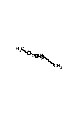 CCCCCCCCCc1cnc(-c2ccc(OC[C@H]3CC[C@H](CCCC)CC3)cc2)nc1